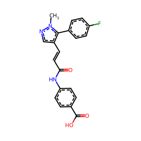 Cn1ncc(C=CC(=O)Nc2ccc(C(=O)O)cc2)c1-c1ccc(F)cc1